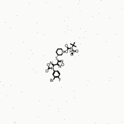 CC(C)(C)N(C(=O)ON1CCC[C@@H](Sc2nonc2-c2noc(=O)n2-c2ccc(F)c(Br)c2)C1)[SH](=O)=O